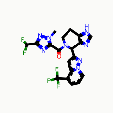 Cn1nc(C(F)F)nc1C(=O)N1CCc2[nH]cnc2C1c1cc2c(C(F)(F)F)cccn2n1